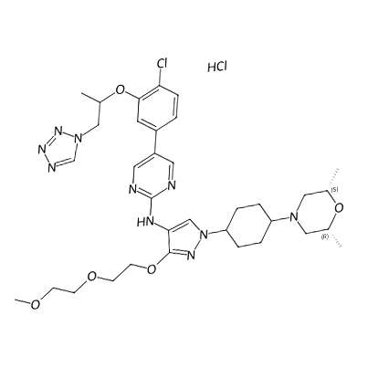 COCCOCCOc1nn(C2CCC(N3C[C@@H](C)O[C@@H](C)C3)CC2)cc1Nc1ncc(-c2ccc(Cl)c(OC(C)Cn3cnnn3)c2)cn1.Cl